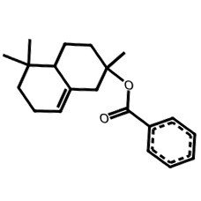 CC1(OC(=O)c2ccccc2)CCC2C(=CCCC2(C)C)C1